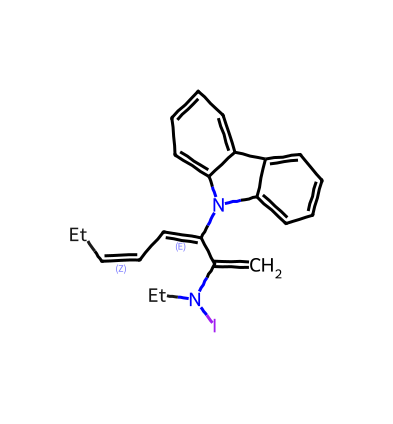 C=C(/C(=C\C=C/CC)n1c2ccccc2c2ccccc21)N(I)CC